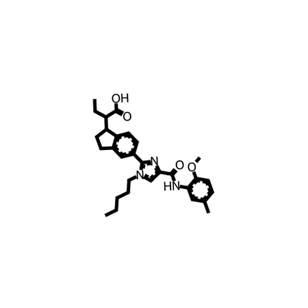 CCCCCn1cc(C(=O)Nc2cc(C)ccc2OC)nc1-c1ccc2c(c1)CCC2C(CC)C(=O)O